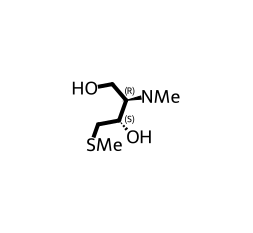 CN[C@H](CO)[C@H](O)CSC